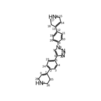 C1=C(c2ccc(-c3cn(-c4ccc(C5=CCNCC5)cc4)nn3)cc2)CCNC1